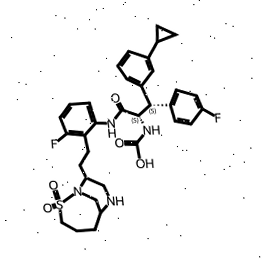 O=C(O)N[C@H](C(=O)Nc1cccc(F)c1CCC1CNC2CCCS(=O)(=O)N1C2)[C@@H](c1ccc(F)cc1)c1cccc(C2CC2)c1